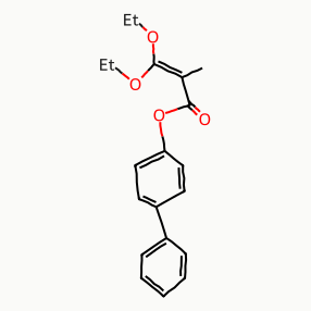 CCOC(OCC)=C(C)C(=O)Oc1ccc(-c2ccccc2)cc1